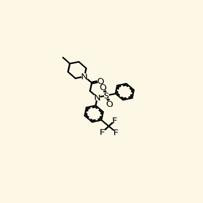 CC1CCN(C(=O)CN(c2cccc(C(F)(F)F)c2)S(=O)(=O)c2ccccc2)CC1